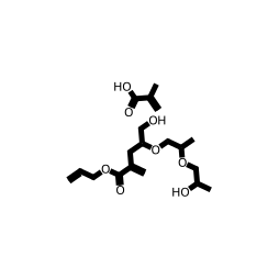 C=C(C)C(=O)O.C=CCOC(=O)C(=C)CC(CO)OCC(C)OCC(C)O